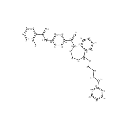 Cc1ccccc1C(=O)Nc1ccc(C(=O)N2CCCN(CCCCOc3ccccc3)c3ccccc32)cc1